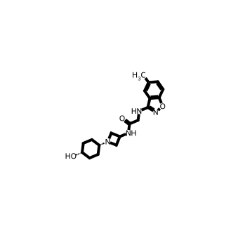 Cc1ccc2onc(NCC(=O)NC3CN([C@H]4CC[C@@H](O)CC4)C3)c2c1